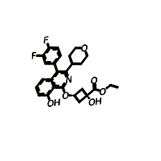 CCOC(=O)[C@]1(O)C[C@@H](Oc2nc(C3CCOCC3)c(-c3ccc(F)c(F)c3)c3cccc(O)c23)C1